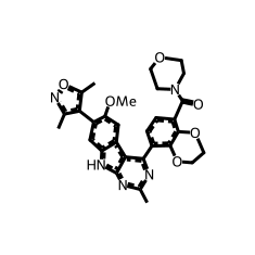 COc1cc2c(cc1-c1c(C)noc1C)[nH]c1nc(C)nc(-c3ccc(C(=O)N4CCOCC4)c4c3OCCO4)c12